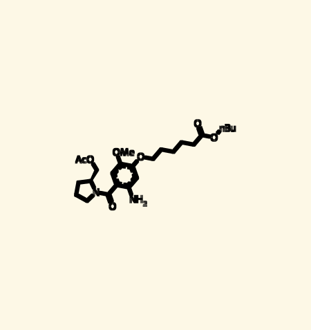 CCCCOC(=O)CCCCCOc1cc(N)c(C(=O)N2CCC[C@H]2COC(C)=O)cc1OC